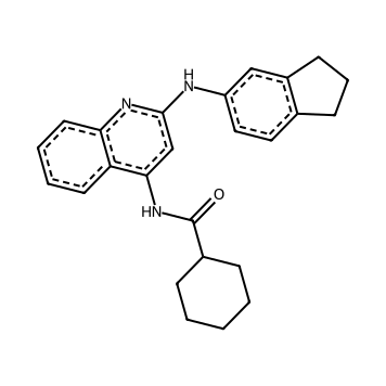 O=C(Nc1cc(Nc2ccc3c(c2)CCC3)nc2ccccc12)C1CCCCC1